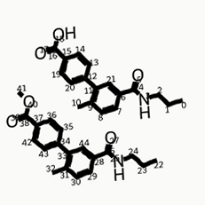 CCCNC(=O)c1ccc(C)c(-c2ccc(C(=O)O)cc2)c1.CCCNC(=O)c1ccc(C)c(-c2ccc(C(=O)OC)cc2)c1